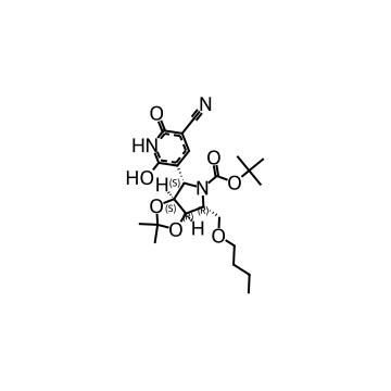 CCCCOC[C@@H]1[C@H]2OC(C)(C)O[C@H]2[C@H](c2cc(C#N)c(=O)[nH]c2O)N1C(=O)OC(C)(C)C